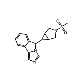 CS(=O)(=O)N1CC2C(C1)C2C1c2ccccc2-c2cncn21